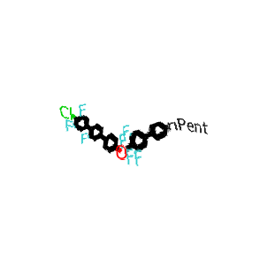 CCCCCc1ccc(-c2cc(F)c(C(F)(F)Oc3ccc(-c4ccc(-c5cc(F)c(Cl)c(F)c5)c(F)c4)cc3)c(F)c2)cc1